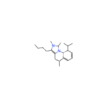 CCCCC1=C2CC(C)C3=CC=CC(C(C)C)C3N2C(C)N1C